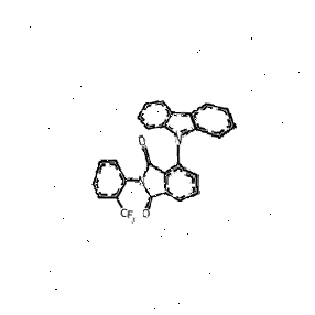 O=C1c2cccc(-n3c4ccccc4c4ccccc43)c2C(=O)N1c1ccccc1C(F)(F)F